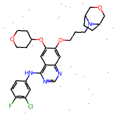 Fc1ccc(Nc2ncnc3cc(OCCCN4C5CCC4COC5)c(OC4CCOCC4)cc23)cc1Cl